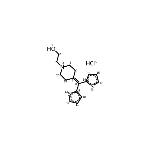 Cl.OCCN1CCC(=C(c2cccs2)c2cccs2)CC1